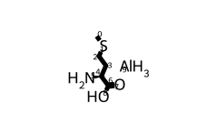 CSCC[C@H](N)C(=O)O.[AlH3]